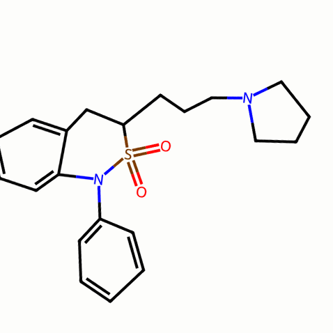 O=S1(=O)C(CCCN2CCCC2)Cc2ccccc2N1c1ccccc1